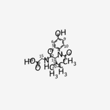 CC(=O)N(c1ccc(O)cc1)[C@H](C(=O)NCC(=O)O)C(C)C